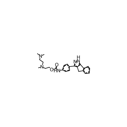 CN(C)CCN(C)CCOC(=O)Nc1ccc(-c2n[nH]c3c2Cc2ccccc2-3)cc1